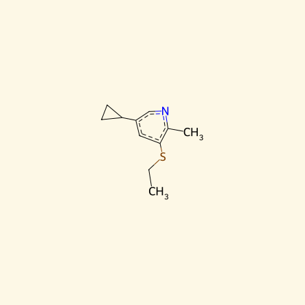 CCSc1cc(C2CC2)cnc1C